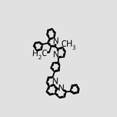 C=Cc1c(-c2nc(-c3ccc(-c4ccc5ccc6ccc(-c7ccccc7)nc6c5n4)cc3)ccc2C)nc2ccccc2c1-c1ccccc1